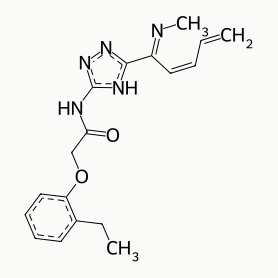 C=C/C=C\C(=N/C)c1nnc(NC(=O)COc2ccccc2CC)[nH]1